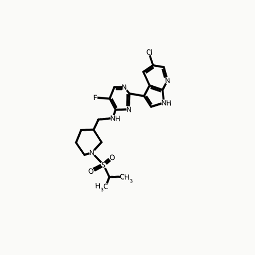 CC(C)S(=O)(=O)N1CCCC(CNc2nc(-c3c[nH]c4ncc(Cl)cc34)ncc2F)C1